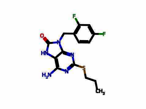 CCCSc1nc(N)c2[nH]c(=O)n(Cc3ccc(F)cc3F)c2n1